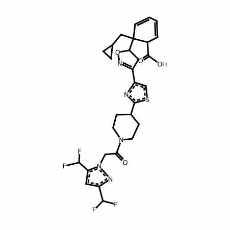 O=C(O)C1C=CC=CC1(CC1CC1)C1CC(c2csc(C3CCN(C(=O)Cn4nc(C(F)F)cc4C(F)F)CC3)n2)=NO1